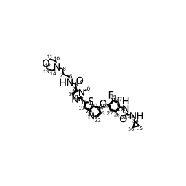 Cn1c(C(=O)NCCCN2CCOCC2)cnc1-c1cc2nccc(Oc3ccc(NC(=O)NC4CC4)cc3F)c2s1